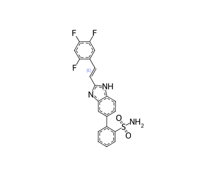 NS(=O)(=O)c1ccccc1-c1ccc2[nH]c(/C=C/c3cc(F)c(F)cc3F)nc2c1